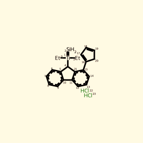 C[CH2][Ti](=[SiH2])([CH2]C)[CH]1c2ccccc2-c2cccc(C3=CC=CC3)c21.Cl.Cl